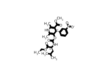 CCOC(=O)[C@H](CC(C)C)NC(=O)OC1=C(C)NC(C)=C(C(=O)OC)[C@@H]1c1cccc([N+](=O)[O-])c1